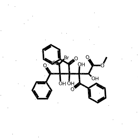 COC(=O)C(O)C(O)(C(=O)c1ccccc1)C(O)(C(=O)c1ccccc1)C(O)(C(=O)Br)C(=O)c1ccccc1